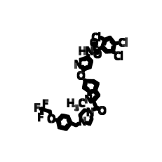 Cn1c(C(=O)N2CCN(Cc3ccc(OCC(F)(F)F)cc3)CC2)cc2ccc(Oc3ccc(NS(=O)(=O)c4cc(Cl)c(Cl)cc4Cl)cn3)cc21